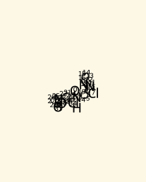 O=C(Nc1ccc(Cl)c(-c2ncc3ccccc3n2)c1)c1ccc(N2CCCCS2(=O)=O)cc1Cl